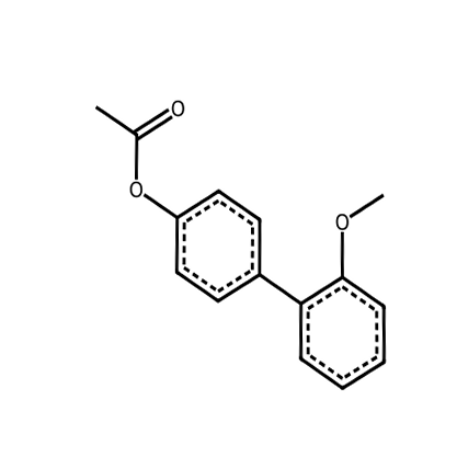 COc1ccccc1-c1ccc(OC(C)=O)cc1